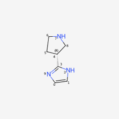 c1c[nH]c([C@@H]2CCNC2)n1